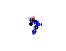 CN1CCN(c2ccc(Nc3ncc4c(n3)N(C3CCCC3)[C@]3(CCNC3=O)C4)cn2)CC1